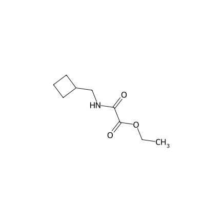 CCOC(=O)C(=O)NCC1CCC1